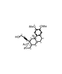 COc1cc2c(cc1OC)[C@H]1C[C@@](C#CCO)(OC(C)=O)C(CC(C)C)CN1CC2